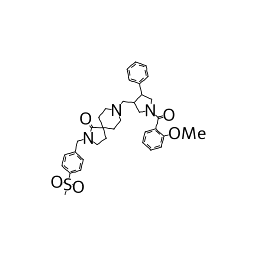 COc1ccccc1C(=O)N1CC(CN2CCC3(CC2)CCN(Cc2ccc(S(C)(=O)=O)cc2)C3=O)C(c2ccccc2)C1